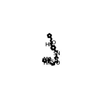 O=C(CCC1CCCC1)Nc1ccc(-c2cnc(C3CN(C(=O)c4ccc(NC(=O)[C@@H]5CCCN5)s4)C3)s2)cc1